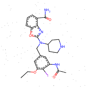 CCOc1cc(CN(c2nc3c(C(N)=O)[c]ccc3o2)C2CCNCC2)cc(NC(C)=O)c1I